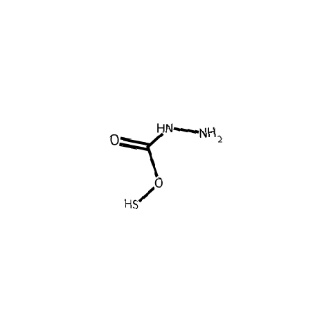 NNC(=O)OS